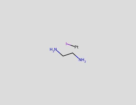 NCCN.[I][Pt]